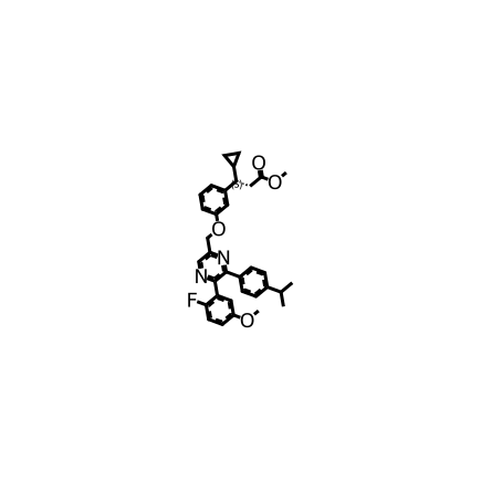 COC(=O)C[C@H](c1cccc(OCc2cnc(-c3cc(OC)ccc3F)c(-c3ccc(C(C)C)cc3)n2)c1)C1CC1